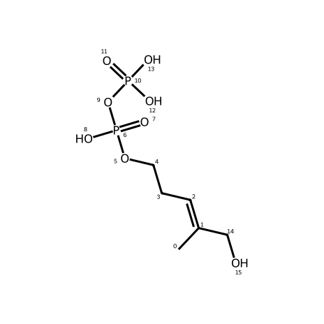 C/C(=C\CCOP(=O)(O)OP(=O)(O)O)CO